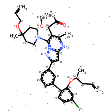 C=CCOC1(C)CCN(c2c([C@H](OC(C)(C)C)C(=O)OC)c(C)nc3cc(-c4cccc(-c5ccc(Cl)cc5O[C@@H](C)CC=C)c4)nn23)CC1